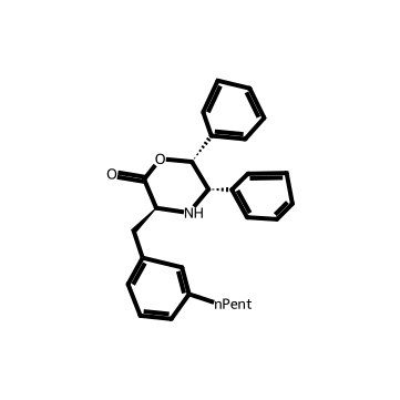 CCCCCc1cccc(C[C@@H]2N[C@@H](c3ccccc3)[C@@H](c3ccccc3)OC2=O)c1